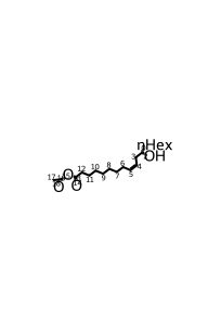 CCCCCC[C@@H](O)C/C=C\CCCCCCCC(=O)OC1CO1